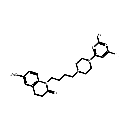 COc1ccc2c(c1)CCC(=O)N2CCCCN1CCN(c2cc(C(F)(F)F)nc(C(C)(C)C)n2)CC1